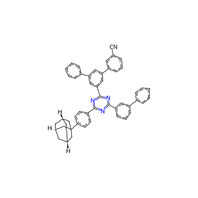 N#Cc1cccc(-c2cc(-c3ccccc3)cc(-c3nc(-c4ccc(C56C[C@H]7C[C@@H](C5)C[C@@H](C6)C7)cc4)nc(-c4cccc(-c5ccccc5)c4)n3)c2)c1